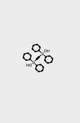 O[Si](C#C[Si](O)(c1ccccc1)c1ccccc1)(c1ccccc1)c1ccccc1